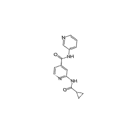 O=C(Nc1cccnc1)c1ccnc(NC(=O)C2CC2)c1